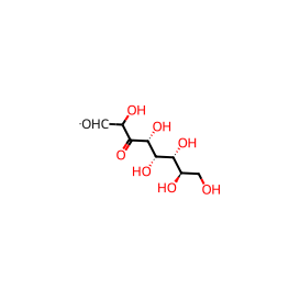 O=[C]C(O)C(=O)[C@H](O)[C@@H](O)[C@H](O)[C@H](O)CO